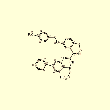 O=C(O)CC(NC(=O)C1NCCc2ccc(OCc3ccc(C(F)(F)F)cc3)cc21)c1ccc(-c2ccccc2)cc1